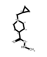 CNOC(=O)C1CCN(CC2CC2)CC1